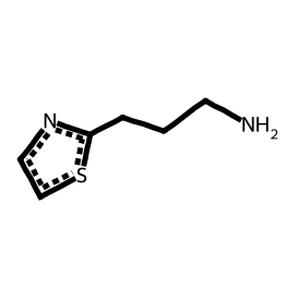 NCCCc1nccs1